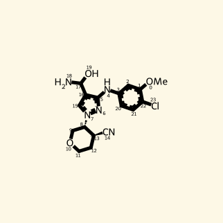 COc1cc(Nc2nn([C@H]3COCC[C@@H]3C#N)cc2C(N)O)ccc1Cl